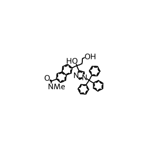 CNC(=O)c1ccc2cc(C(O)(CCO)c3cn(C(c4ccccc4)(c4ccccc4)c4ccccc4)cn3)ccc2c1